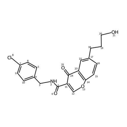 O=C(NCc1ccc(Cl)cc1)c1coc2ccc(CCCO)cc2c1=O